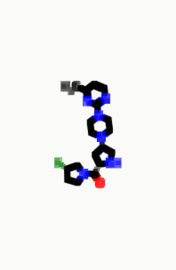 Cc1ccnc(N2CCN([C@@H]3CN[C@H](C(=O)N4CC[C@H](F)C4)C3)CC2)n1